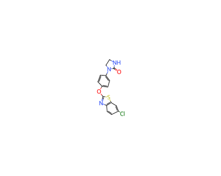 O=C1NCCN1c1ccc(Oc2nc3ccc(Cl)cc3s2)cc1